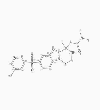 CN(C)C(=O)CC1(C)NCCc2c1oc1cc(S(=O)(=O)c3cccc(F)c3)ccc21